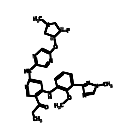 CCC(=O)c1cnc(Nc2cnc(O[C@H]3CN(C)C[C@@H]3F)cn2)cc1Nc1cccc(-c2ncn(C)n2)c1OC